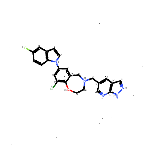 Fc1ccc2c(ccn2-c2cc(Cl)c3c(c2)CN(Cc2cnc4[nH]ncc4c2)CCO3)c1